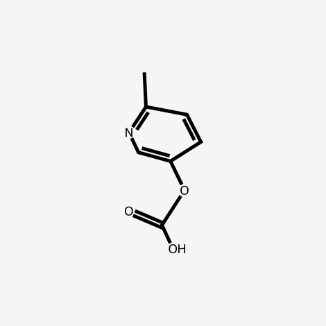 Cc1ccc(OC(=O)O)cn1